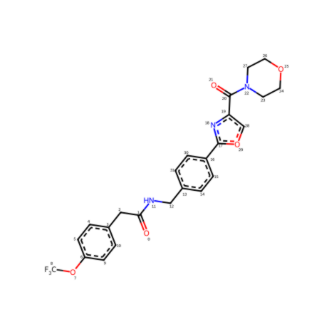 O=C(Cc1ccc(OC(F)(F)F)cc1)NCc1ccc(-c2nc(C(=O)N3CCOCC3)co2)cc1